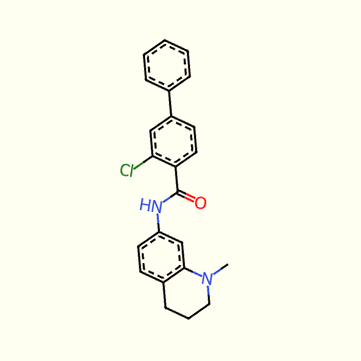 CN1CCCc2ccc(NC(=O)c3ccc(-c4ccccc4)cc3Cl)cc21